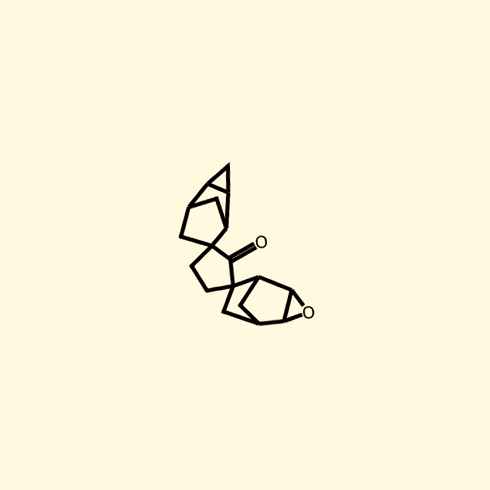 O=C1C2(CCC13CC1CC3C3OC13)CC1CC2C2CC12